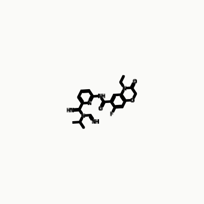 CCN1C(=O)COc2cc(F)c(C(=O)Nc3cccc(C(=N)N(C=N)C(C)C)n3)cc21